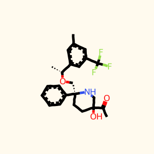 CC(=O)C1(O)CC[C@@](CO[C@H](C)c2cc(C)cc(C(F)(F)F)c2)(c2ccccc2)NC1